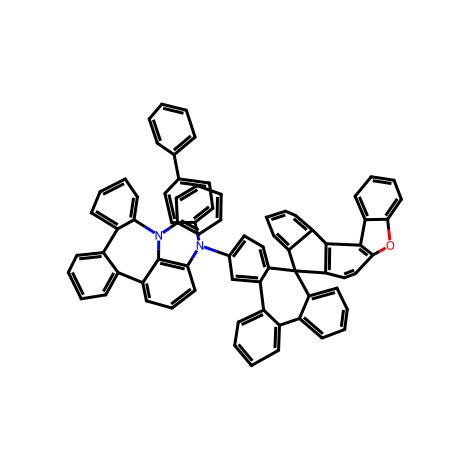 c1ccc(-c2ccc(N(c3ccc4c(c3)-c3ccccc3-c3ccccc3C43c4ccccc4-c4c3ccc3oc5ccccc5c43)c3cccc4c3N(c3ccccc3)c3ccccc3-c3ccccc3-4)cc2)cc1